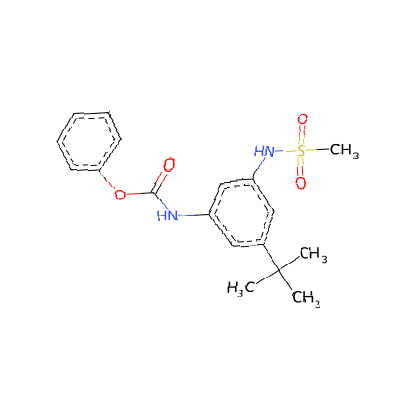 CC(C)(C)c1cc(NC(=O)Oc2ccccc2)cc(NS(C)(=O)=O)c1